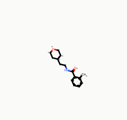 Cc1ccccc1C(=O)NCCC1CCOCC1